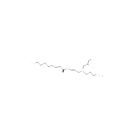 CCCCCCCCCCCCCCCCCC(=O)NCCCN(CCCOCCCCCCCCCC)CC(O)CO